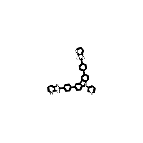 c1cncc(-n2c3ccc(-c4ccc(-c5nc6cccnc6o5)cc4)cc3c3cc(-c4ccc(-c5nc6cccnc6o5)cc4)ccc32)c1